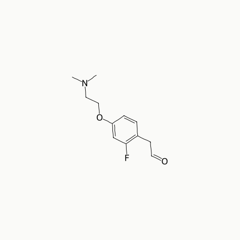 CN(C)CCOc1ccc(CC=O)c(F)c1